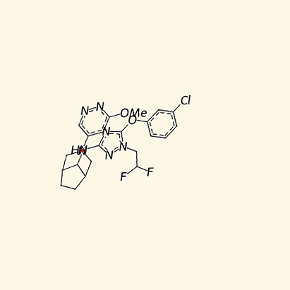 COc1cc(N2CC3CCC(C2)C3Nc2nc(Oc3cccc(Cl)c3)n(CC(F)F)n2)cnn1